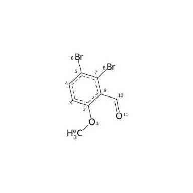 COc1ccc(Br)c(Br)c1C=O